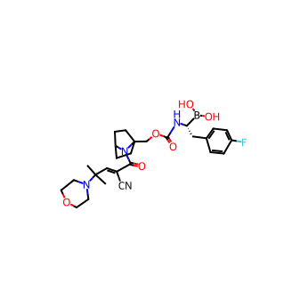 CC(C)(C=C(C#N)C(=O)N1C2CCC1(COC(=O)N[C@@H](Cc1ccc(F)cc1)B(O)O)CC2)N1CCOCC1